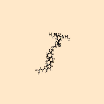 CC(C)CCCC(C)C1CCC2C3CCC4CC(OCCCOC(=O)c5cc(N)cc(N)c5)CCC4(C)C3CCC12C